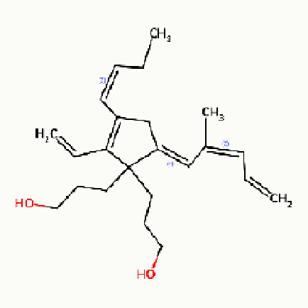 C=C/C=C(C)\C=C1/CC(/C=C\CC)=C(C=C)C1(CCCO)CCCO